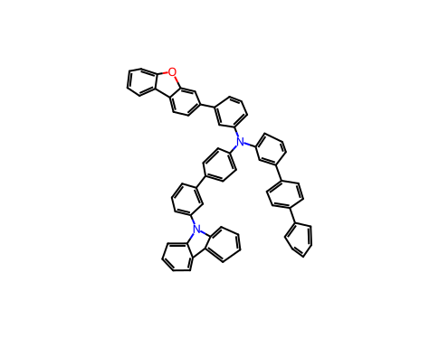 c1ccc(-c2ccc(-c3cccc(N(c4ccc(-c5cccc(-n6c7ccccc7c7ccccc76)c5)cc4)c4cccc(-c5ccc6c(c5)oc5ccccc56)c4)c3)cc2)cc1